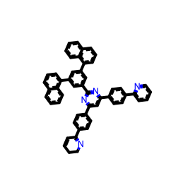 C1=CC(c2ccc(-c3cc(-c4ccc(-c5ccccn5)cc4)nc(-c4cc(-c5cccc6ccccc56)cc(-c5cccc6ccccc56)c4)n3)cc2)=NCC1